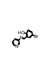 Oc1ccc(Br)cc1C=Nc1cccnc1